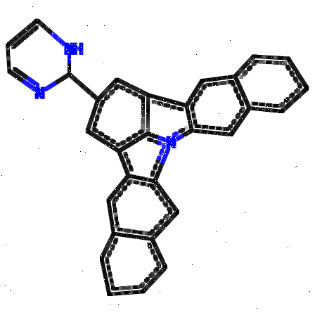 C1=CNC(c2cc3c4cc5ccccc5cc4n4c5cc6ccccc6cc5c(c2)c34)N=C1